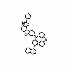 c1ccc(-c2nc3ccc4oc5cc(N(c6ccc(-c7cccc8ccccc78)cc6)c6cccc7sc8ccccc8c67)ccc5c4c3o2)cc1